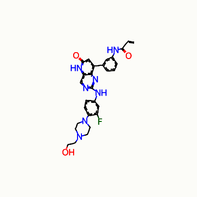 C=CC(=O)Nc1cccc(-c2cc(=O)[nH]c3cnc(Nc4ccc(N5CCN(CCO)CC5)c(F)c4)nc23)c1